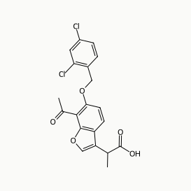 CC(=O)c1c(OCc2ccc(Cl)cc2Cl)ccc2c(C(C)C(=O)O)coc12